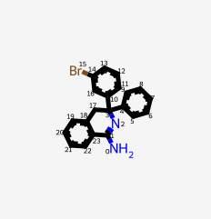 NC1=NC(c2ccccc2)(c2cccc(Br)c2)Cc2ccccc21